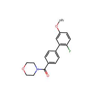 CCCOc1ccc(F)c(-c2ccc(C(=O)N3CCOCC3)cc2)c1